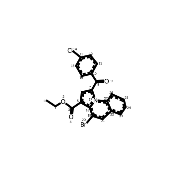 CCOC(=O)c1cc(C(=O)c2ccc(Cl)cc2)n2c1c(Br)cc1ccccc12